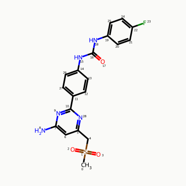 CS(=O)(=O)Cc1cc(N)nc(-c2ccc(NC(=O)Nc3ccc(F)cc3)cc2)n1